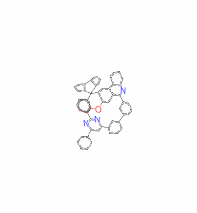 c1ccc(-c2cc(-c3cccc(-c4cccc(-c5nc6ccccc6c6cc7c(cc56)Oc5ccccc5C75c6ccccc6-c6ccccc65)c4)c3)nc(-c3ccccc3)n2)cc1